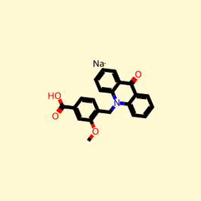 COc1cc(C(=O)O)ccc1Cn1c2ccccc2c(=O)c2ccccc21.[Na]